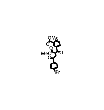 COC(=O)c1cccc(C(=O)C(CC(=O)c2ccc(C(C)C)cc2)C(=O)OC)c1